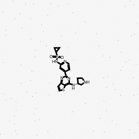 O=S(=O)(Nc1cc(-c2nc(N[C@@H]3CCNC3)c3sccc3n2)ccn1)C1CC1